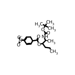 CCCC(OC(=O)C1C=CC([N+](=O)[O-])=CC1)[C@H](C)NC(=O)OC(C)(C)C